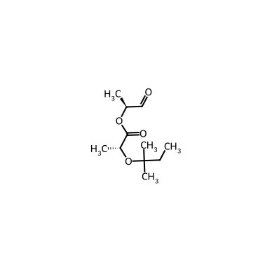 CCC(C)(C)O[C@H](C)C(=O)O[C@@H](C)C=O